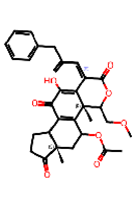 C=C(/C=C1/C(=O)OC(COC)[C@@]2(C)C1=C(O)C(=O)C1=C2C(OC(C)=O)C[C@]2(C)C(=O)CCC12)Cc1ccccc1